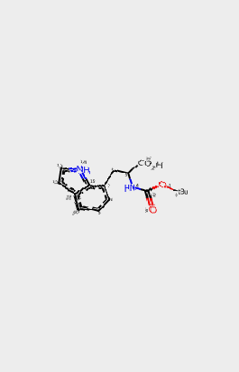 CC(C)(C)OC(=O)NC(Cc1cccc2cc[nH]c12)C(=O)O